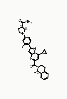 C[C@@H]1c2ccccc2CCN1C(=O)c1cc(C2CC2)n2nc(-c3ccc(N4CC[C@@H](C(N)=O)[C@@H]4C)cc3F)cc2n1